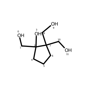 OCC1(O)CCCC1(CO)CO